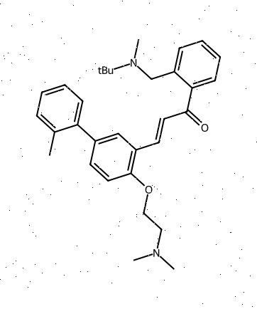 Cc1ccccc1-c1ccc(OCCN(C)C)c(C=CC(=O)c2ccccc2CN(C)C(C)(C)C)c1